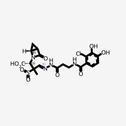 CC(/C=N/NC(=O)CCNC(=O)c1ccc(O)c(O)c1Cl)([C@H](C(=O)O)N1C(=O)C2C[C@H]21)[SH](=O)=O